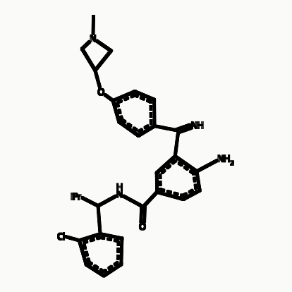 CC(C)C(NC(=O)c1ccc(N)c(C(=N)c2ccc(OC3CN(C)C3)cc2)c1)c1ccccc1Cl